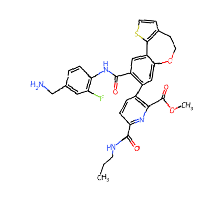 CCCNC(=O)c1ccc(-c2cc3c(cc2C(=O)Nc2ccc(CN)cc2F)-c2sccc2CCO3)c(C(=O)OC)n1